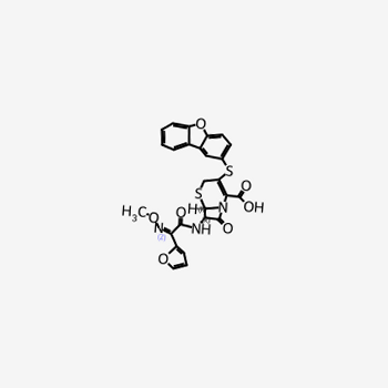 CO/N=C(\C(=O)N[C@@H]1C(=O)N2C(C(=O)O)=C(Sc3ccc4oc5ccccc5c4c3)CS[C@H]12)c1ccco1